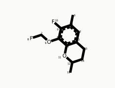 Cc1cc2c(c(OCF)c1F)OC(C)CC2